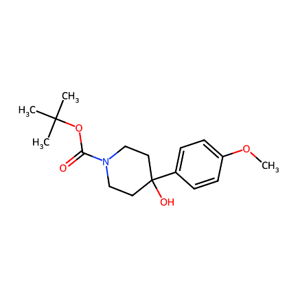 COc1ccc(C2(O)CCN(C(=O)OC(C)(C)C)CC2)cc1